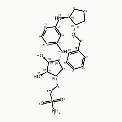 NS(=O)(=O)OC[C@H]1C[C@@H](Nc2cc(N[C@H]3CCC[C@@H]3OCc3ccccc3)ncn2)[C@H](O)[C@@H]1O